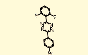 Fc1cccc(F)c1-c1nnc(-c2ccc(Br)cc2)nn1